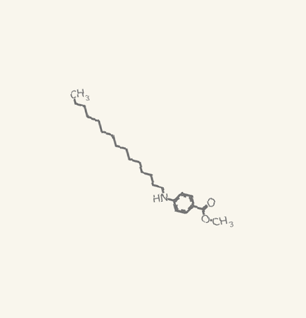 CCCCCCCCCCCCCCCNc1ccc(C(=O)OC)cc1